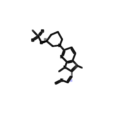 C=N/C=C\c1c(C)c2ccc(N3CCC[C@H](OS(C)(=O)=O)C3)nc2n1C